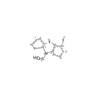 O=C(O)N(c1ccccc1)c1cccc(F)c1F